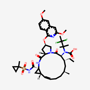 CC[C@@H]1C[C@@H](C)CC/C=C\[C@@H]2C[C@@]2(C(=O)NS(=O)(=O)C2(C)CC2)NC(=O)[C@@H]2C[C@@H](Oc3nc(OC)cc4cc(OC)ccc34)CN2C(=O)[C@H]1N(C(=O)O)C(C)(C)C(C)(F)F